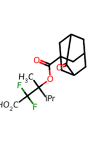 CC(C)C(C)(OC(=O)C12CC3CC(C1)C(=O)C(C3)C2)C(F)(F)C(=O)O